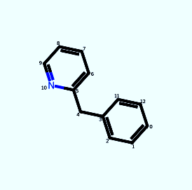 [c]1ccc(Cc2ccccn2)cc1